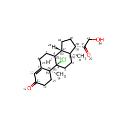 C[C@]12CC[C@@]3(Cl)[C@@H](CCC4=CC(=O)CC[C@@]43C)[C@@H]1CC[C@@H]2C(=O)CO